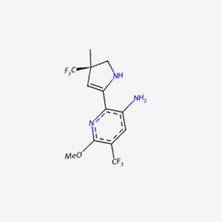 COc1nc(C2=C[C@@](C)(C(F)(F)F)CN2)c(N)cc1C(F)(F)F